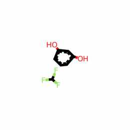 FC(F)F.Oc1cccc(O)c1